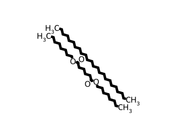 CCCCCCCCCCCCCCCCCCCCCCCC.CCCCCCCCOC(=O)CCCCC(=O)OCCCCCCCC